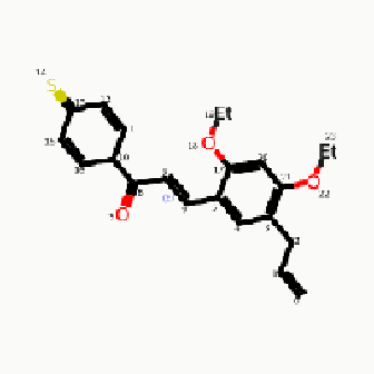 C=CCc1cc(/C=C/C(=O)C2C=CC(=S)C=C2)c(OCC)cc1OCC